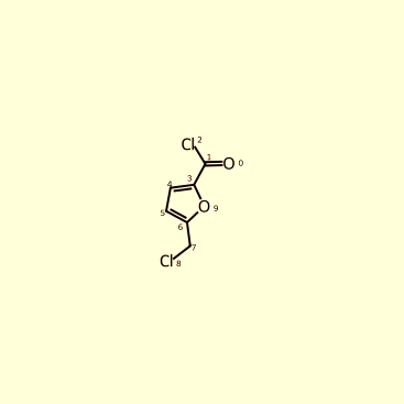 O=C(Cl)c1ccc(CCl)o1